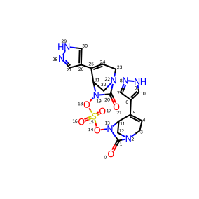 O=C1N2CC=C(c3cn[nH]c3)C(C2)N1OS(=O)(=O)ON1C(=O)N2CC=C(c3cn[nH]c3)C1C2